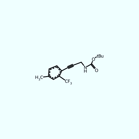 Cc1ccc(C#CCNC(=O)OC(C)(C)C)c(C(F)(F)F)c1